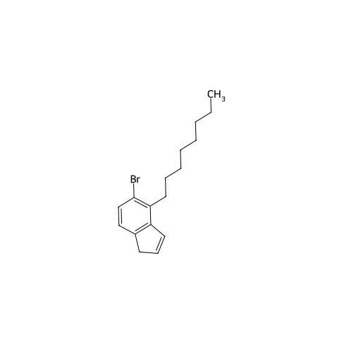 CCCCCCCCc1c(Br)ccc2c1C=CC2